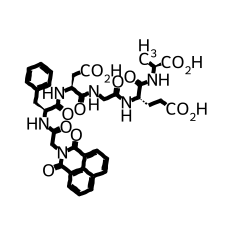 C[C@H](NC(=O)[C@H](CCC(=O)O)NC(=O)CNC(=O)[C@H](CC(=O)O)NC(=O)[C@H](Cc1ccccc1)NC(=O)CN1C(=O)c2cccc3cccc(c23)C1=O)C(=O)O